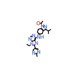 CCn1c(-c2cnc(C)nc2)nc2c(N[C@@H]3CCc4c(c(C(C)C)nn4C(C)=O)C3)ncnc21